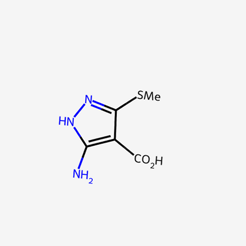 CSc1n[nH]c(N)c1C(=O)O